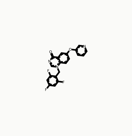 O=c1ncn(Cc2c(F)cc(F)cc2F)c2ccc(Oc3cccnc3)cc12